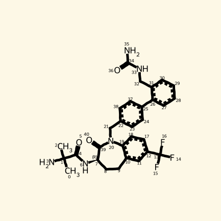 CC(C)(N)C(=O)N[C@@H]1CCc2cc(C(F)(F)F)ccc2N(Cc2ccc(-c3ccccc3CNC(N)=O)cc2)C1=O